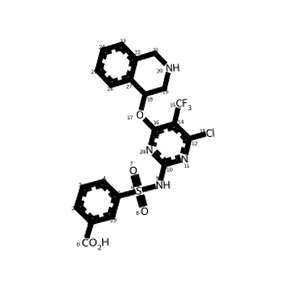 O=C(O)c1cccc(S(=O)(=O)Nc2nc(Cl)c(C(F)(F)F)c(OC3CNCc4ccccc43)n2)c1